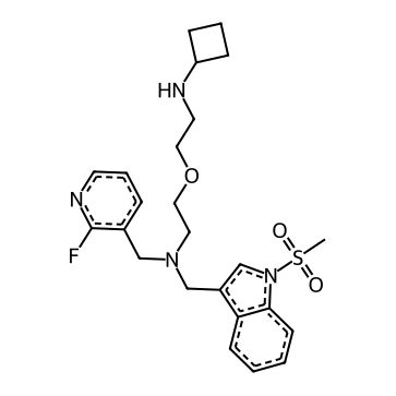 CS(=O)(=O)n1cc(CN(CCOCCNC2CCC2)Cc2cccnc2F)c2ccccc21